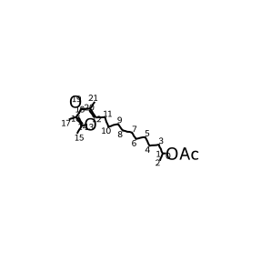 CC(=O)OC(C)CCCCCCCCCc1oc(C)c(C)c(=O)c1C